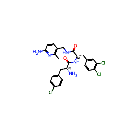 Cc1nc(N)ccc1CNC(=O)[C@H](Cc1ccc(Cl)c(Cl)c1)NC(=O)[C@H](N)Cc1ccc(Cl)cc1